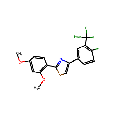 COc1ccc(-c2nc(-c3ccc(F)c(C(F)(F)F)c3)cs2)c(OC)c1